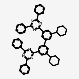 c1ccc(-c2nc(-c3ccccc3)nc(-c3cc(-c4cc(-c5nc(-c6ccccc6)nc(-c6ccccc6)n5)cc(C5CCCCC5)c4)cc(C4CCCCC4)c3)n2)cc1